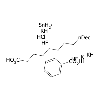 CCCCCCCCCCCCCCCCCC(=O)O.Cl.F.F.O=C(O)c1ccccc1.[KH].[KH].[KH].[SnH2]